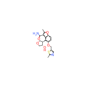 Cc1ncc(COc2ccc3oc(C)c(C(N)=O)c3c2[C@@H]2COC[C@H]2O)s1